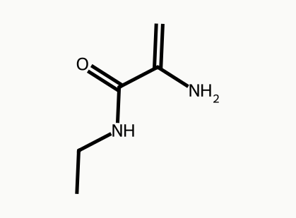 C=C(N)C(=O)NCC